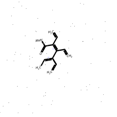 C=C/C(C(=O)NC)=C(C=C)/C(C=C)=C/C